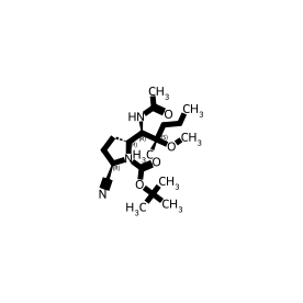 CCC[C@](C)(OC)[C@H](NC(C)=O)[C@H]1CC[C@H](C#N)N1C(=O)OC(C)(C)C